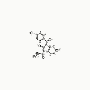 Cc1cnc(C(=O)C2C(=O)N(C(=O)NC(C)C)c3ccc(Cl)cc32)cn1